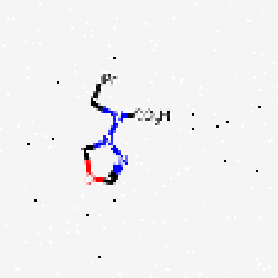 CC(C)CN(C(=O)O)N1COC=N1